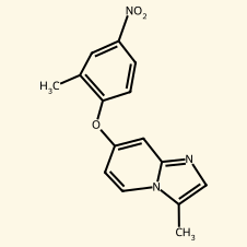 Cc1cc([N+](=O)[O-])ccc1Oc1ccn2c(C)cnc2c1